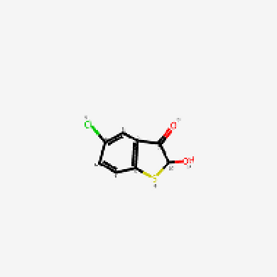 O=C1c2cc(Cl)ccc2SC1O